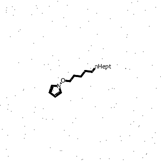 CCCCCCCCCCCCOn1cccc1